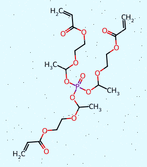 C=CC(=O)OCCOC(C)OP(=O)(OC(C)OCCOC(=O)C=C)OC(C)OCCOC(=O)C=C